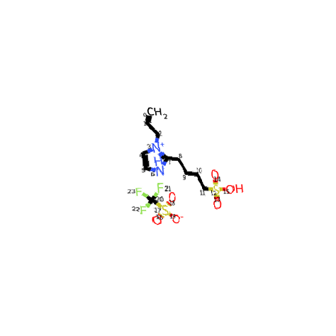 C=CC[n+]1cc[nH]c1CCCCS(=O)(=O)O.O=S(=O)([O-])C(F)(F)F